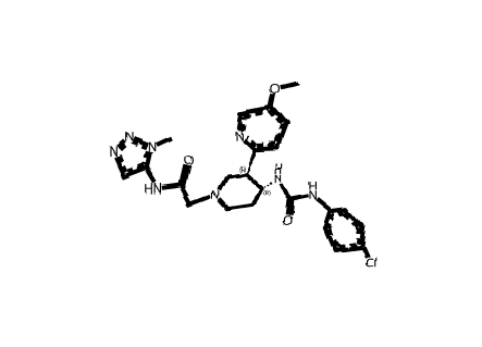 COc1ccc([C@@H]2CN(CC(=O)Nc3cnnn3C)CC[C@H]2NC(=O)Nc2ccc(Cl)cc2)nc1